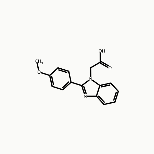 COc1ccc(-c2nc3ccccc3n2CC(=O)O)cc1